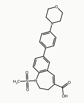 CS(=O)(=O)N1CCC(C(=O)O)=Cc2cc(-c3ccc(N4CCOCC4)cc3)ccc21